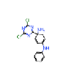 NC1(c2nc(Cl)nc(Cl)n2)C=CC(Nc2ccccc2)=CC1